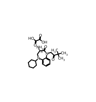 CC(C)(C)C(=O)CN1C(=O)[C@H](N)CN(C2CCCCC2)c2ccccc21.O=C(O)C(=O)O